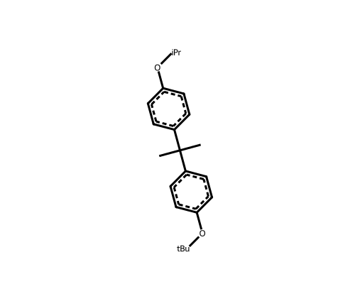 CC(C)Oc1ccc(C(C)(C)c2ccc(OC(C)(C)C)cc2)cc1